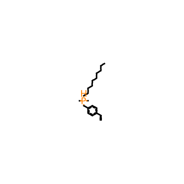 C=Cc1ccc(C[PH](C)(C)CCCCCCCCCC)cc1